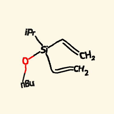 C=C[Si](C=C)(OCCCC)C(C)C